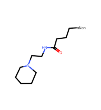 CCCCCCCCCCCCC(=O)NCCN1CCCCC1